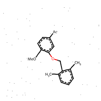 COc1ccc(C(C)=O)cc1OCc1c(C)cccc1C